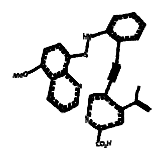 C=C(C)c1cc(C(=O)O)ncc1C#Cc1ccccc1NSc1ccc(OC)c2cccnc12